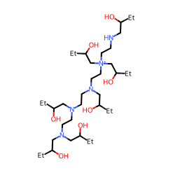 CCC(O)CNCC[N+](CCN(CCN(CCN(CC(O)CC)CC(O)CC)CC(O)CC)CC(O)CC)(CC(O)CC)CC(O)CC